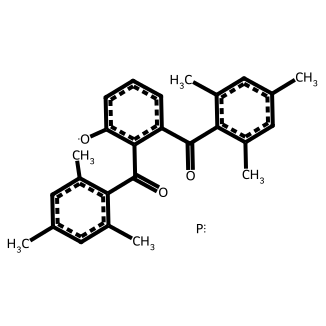 Cc1cc(C)c(C(=O)c2cccc([O])c2C(=O)c2c(C)cc(C)cc2C)c(C)c1.[P]